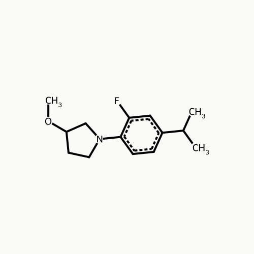 COC1CCN(c2ccc(C(C)C)cc2F)C1